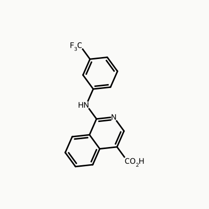 O=C(O)c1cnc(Nc2cccc(C(F)(F)F)c2)c2ccccc12